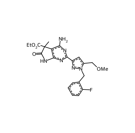 CCOC(=O)C1(C)C(=O)Nc2nc(-c3cc(COC)n(Cc4ccccc4F)n3)nc(N)c21